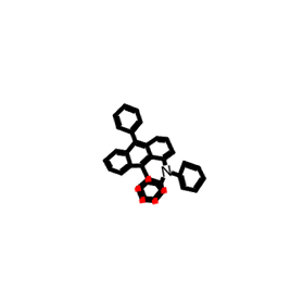 c1ccc(-c2c3ccccc3c(-c3ccccc3)c3c(N(c4ccccc4)c4ccccc4)cccc23)cc1